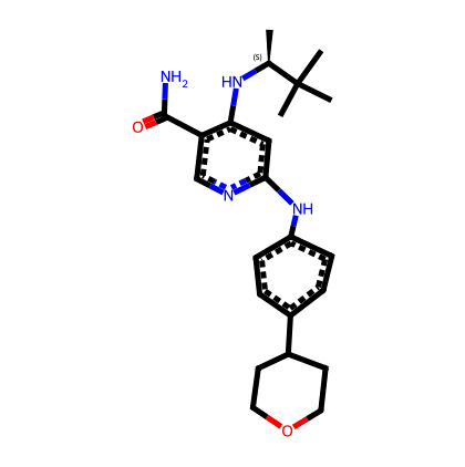 C[C@H](Nc1cc(Nc2ccc(C3CCOCC3)cc2)ncc1C(N)=O)C(C)(C)C